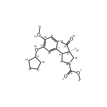 COC(=O)N1CC(c2ccc(OC)c(OC3CCCC3)c2)[C@@](C)(C(C)=O)C1